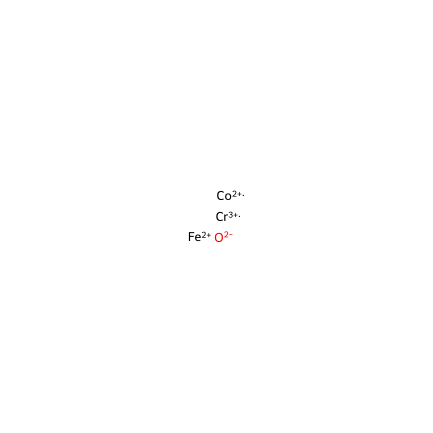 [Co+2].[Cr+3].[Fe+2].[O-2]